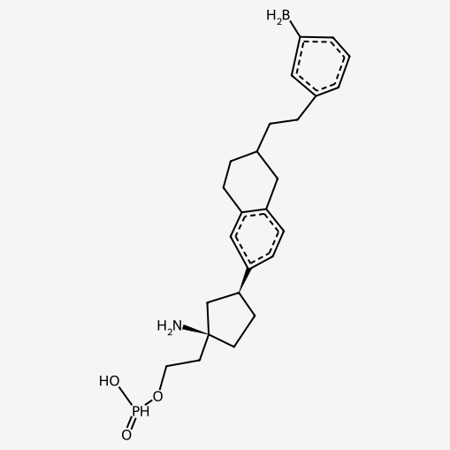 Bc1cccc(CCC2CCc3cc([C@H]4CC[C@](N)(CCO[PH](=O)O)C4)ccc3C2)c1